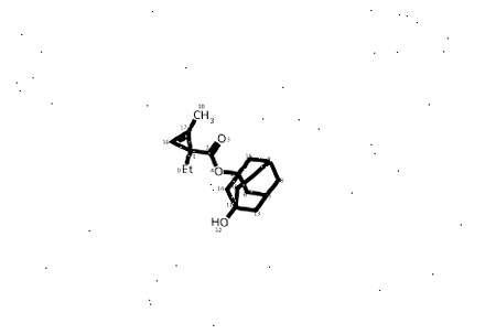 CCC1(C(=O)OC23CC4CC(CC(O)(C4)C2)C3)C=C1C